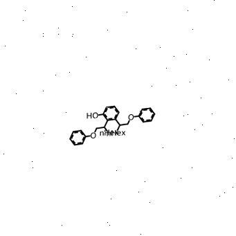 CCCCCCC(COc1ccccc1)c1cccc(O)c1C(CCCCCC)COc1ccccc1